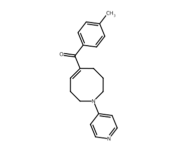 Cc1ccc(C(=O)/C2=C/CCN(c3ccncc3)CCC2)cc1